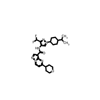 CC(C)C1CCC(n2cc(NC(=O)c3cnn4ccc(C5CCOCC5)nc34)c(C(F)F)n2)CC1